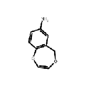 Nc1ccc2c(c1)COC=CO2